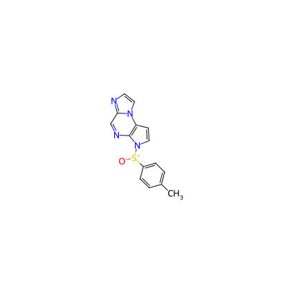 Cc1ccc([S+]([O-])n2ccc3c2ncc2nccn23)cc1